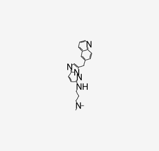 CN(C)CCCNc1ccc2ncc(Cc3ccc4ncccc4c3)n2n1